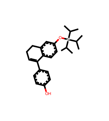 CC(C)[Si](Oc1ccc2c(c1)CCC=C2c1ccc(O)cc1)(C(C)C)C(C)C